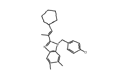 C/C(=C\C1CCCCC1)c1nc2cc(C)c(C)cc2n1Cc1ccc(Cl)cc1